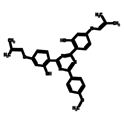 COc1ccc(-c2nc(-c3ccc(OC=C(C)C)cc3O)nc(-c3ccc(OC=C(C)C)cc3O)n2)cc1